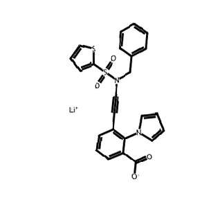 O=C([O-])c1cccc(C#CN(Cc2ccccc2)S(=O)(=O)c2cccs2)c1-n1cccc1.[Li+]